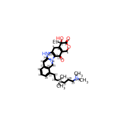 CC[C@@]1(O)C(=O)OCC2=C1CC1=C(C2=O)N2Cc3c(cccc3CC[Si](C)(C)CCCN(C)C)C=C2N1